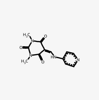 CN1C(=O)C(=CNc2ccncc2)C(=O)N(C)C1=O